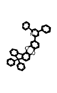 c1ccc(-c2cc(-c3ccccc3)nc(-c3ccc4c(c3)Oc3c(ccc5c3-c3ccccc3C5(c3ccccc3)c3ccccc3)O4)c2)cc1